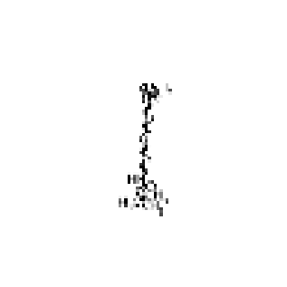 CC(C)(C)OC(=O)NCCOCCOCCOCCOS(C)(=O)=O